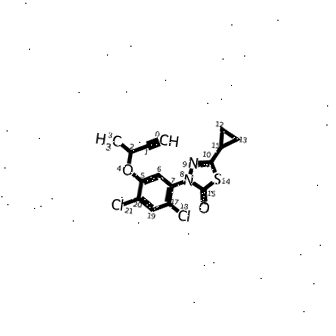 C#CC(C)Oc1cc(-n2nc(C3CC3)sc2=O)c(Cl)cc1Cl